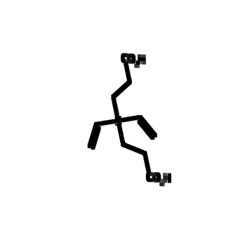 C=CS(C=C)(CCC(=O)O)CCC(=O)O